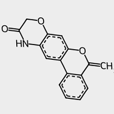 C=C1Oc2cc3c(cc2-c2ccccc21)NC(=O)CO3